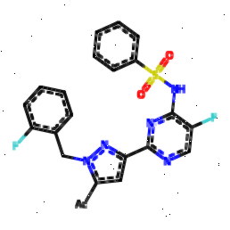 CC(=O)c1cc(-c2ncc(F)c(NS(=O)(=O)c3ccccc3)n2)nn1Cc1ccccc1F